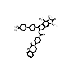 Cc1cc(C[C@@H](OC(=O)N2CCC(N3CCc4ccccc4NC3=O)CC2)C(=O)N2CCC(N3CCC(C)(N)CC3)CC2)cc2c1n(C)c(=O)n2C